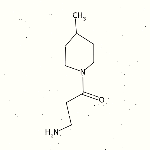 CC1CCN(C(=O)CCN)CC1